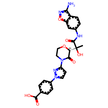 CC(O)(C(=O)Nc1ccc2c(N)noc2c1)[C@H]1OCCN(c2ccn(-c3ccc(C(=O)O)cc3)n2)C1=O